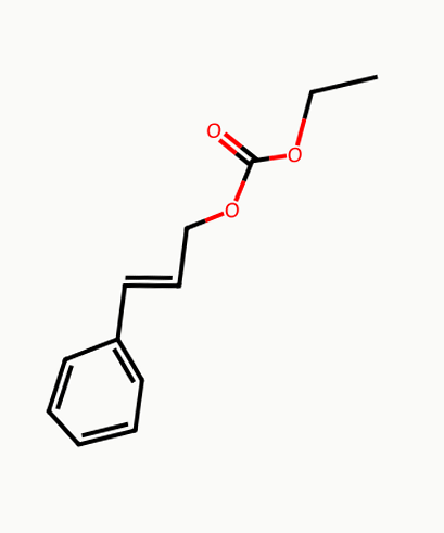 CCOC(=O)OCC=Cc1ccccc1